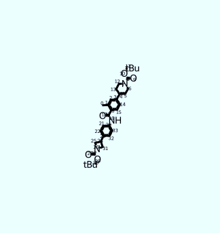 Cc1cc(C2=CCN(C(=O)OC(C)(C)C)CC2)ccc1C(=O)Nc1ccc(C2CN(C(=O)OC(C)(C)C)C2)cc1